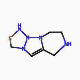 C1=C2CNCCN2N2NSCN12